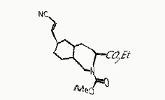 CCOC(=O)C1CC2CC(C=CC#N)CCC2CN1C(=O)OC